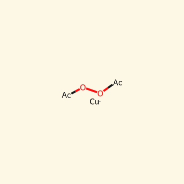 CC(=O)OOC(C)=O.[Cu]